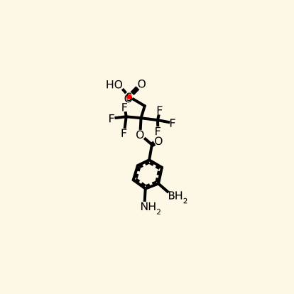 Bc1cc(C(=O)OC(CS(=O)(=O)O)(C(F)(F)F)C(F)(F)F)ccc1N